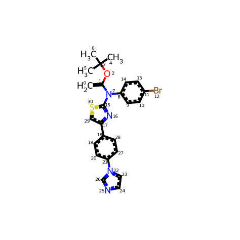 C=C(OC(C)(C)C)N(c1ccc(Br)cc1)c1nc(-c2ccc(-n3ccnc3)cc2)cs1